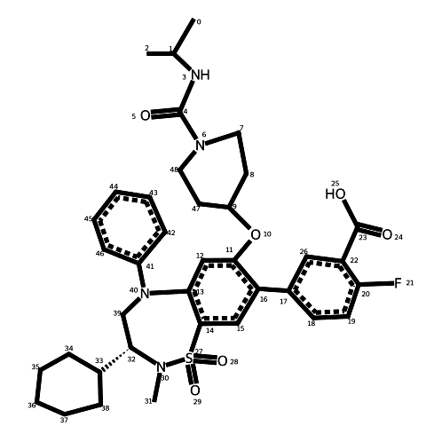 CC(C)NC(=O)N1CCC(Oc2cc3c(cc2-c2ccc(F)c(C(=O)O)c2)S(=O)(=O)N(C)[C@H](C2CCCCC2)CN3c2ccccc2)CC1